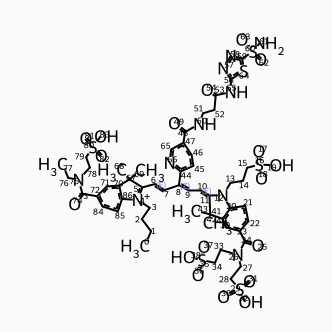 CCCC[N+]1=C(/C=C/C(=C/C=C2/N(CCCS(=O)(=O)O)c3ccc(C(=O)N(CCS(=O)(=O)O)CCS(=O)(=O)O)cc3C2(C)C)c2ccc(C(=O)NCCC(=O)Nc3nnc(S(N)(=O)=O)s3)cn2)C(C)(C)c2cc(C(=O)N(CC)CCS(=O)(=O)O)ccc21